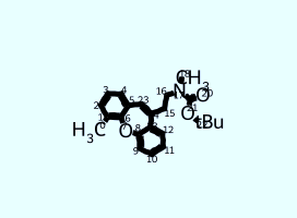 Cc1cccc2c1Oc1ccccc1C(CCN(C)C(=O)OC(C)(C)C)=C2